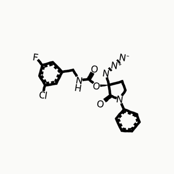 [N-]=[N+]=N[C@]1(OC(=O)NCc2cc(F)cc(Cl)c2)CCN(c2ccccc2)C1=O